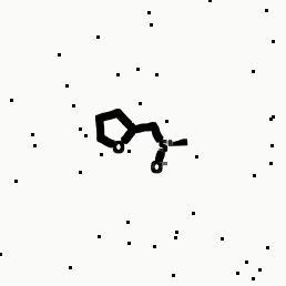 C[S@@+]([O-])CC1CCCO1